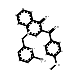 Bc1cccc(Cn2cc(C(=O)c3ccc(SC)cc3)c(=O)c3ccccc32)n1